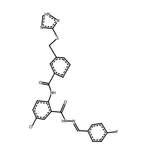 O=C(Nc1ccc(Cl)cc1C(=O)N/N=C/c1ccc(F)cc1)c1cccc(CSc2nc[nH]n2)c1